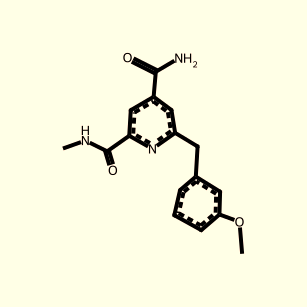 CNC(=O)c1cc(C(N)=O)cc(Cc2cccc(OC)c2)n1